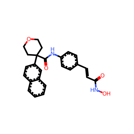 O=C(C=Cc1ccc(NC(=O)C2(c3ccc4ccccc4c3)CCOCC2)cc1)NO